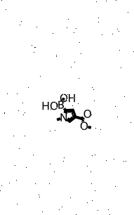 COC(=O)c1cc(B(O)O)n(C)c1